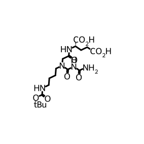 CC(C)(C)OC(=O)NCCCCN(CC(=O)N[C@@H](CCC(=O)O)C(=O)O)C(=O)NC(N)=O